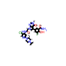 CC(C)N1CCN(c2cc(NC(=O)Cn3cc(-c4cc(F)c(O)c(C(N)=O)c4)c4c(=O)n(C)cnc43)c(Cl)cn2)[C@@H](C)C1